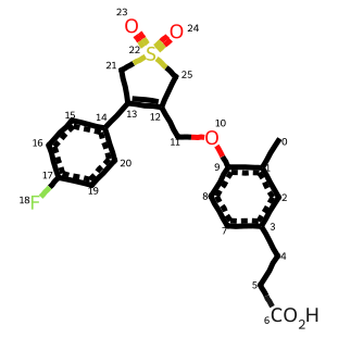 Cc1cc(CCC(=O)O)ccc1OCC1=C(c2ccc(F)cc2)CS(=O)(=O)C1